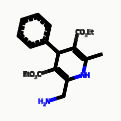 CCOC(=O)C1=C(C)NC(CN)=C(C(=O)OCC)C1c1ccccc1